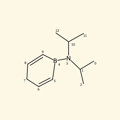 CC(C)N(B1C=CCC=C1)C(C)C